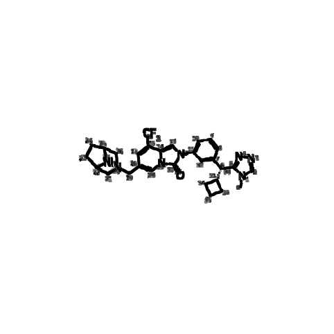 Cn1cnnc1[C@@H](c1cccc(-n2cc3c(C(F)(F)F)cc(CN4CC5CCC(C4)N5)cn3c2=O)c1)C1CCC1